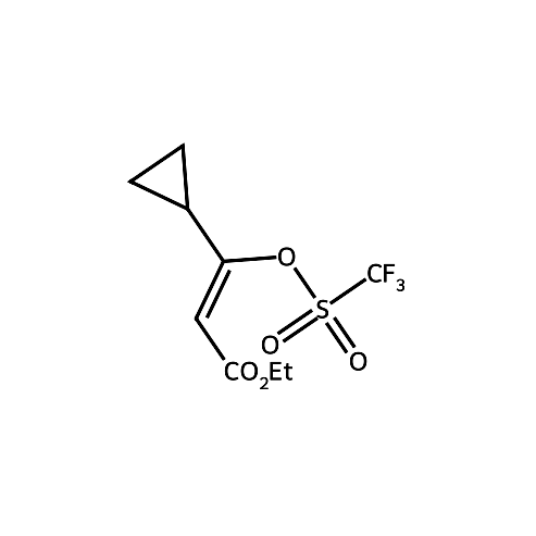 CCOC(=O)C=C(OS(=O)(=O)C(F)(F)F)C1CC1